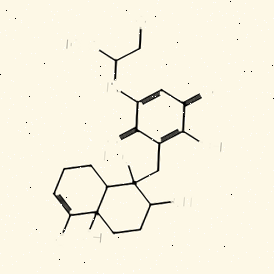 CC1=CCCC2C1(C)CCC(C)C2(C)CC1=C(O)C(=O)C=C(NC(CO)C(=O)O)C1=O